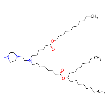 CCCCCCCCCCCOC(=O)CCCCCN(CCCCCCCC(=O)OC(CCCCCCCC)CCCCCCCC)CCN1CCNCC1